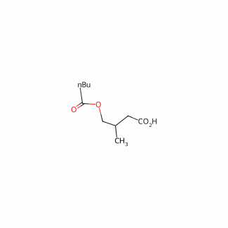 CCCCC(=O)OCC(C)CC(=O)O